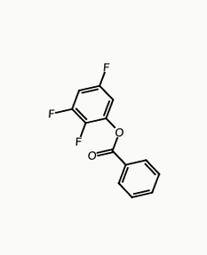 O=C(Oc1cc(F)cc(F)c1F)c1ccccc1